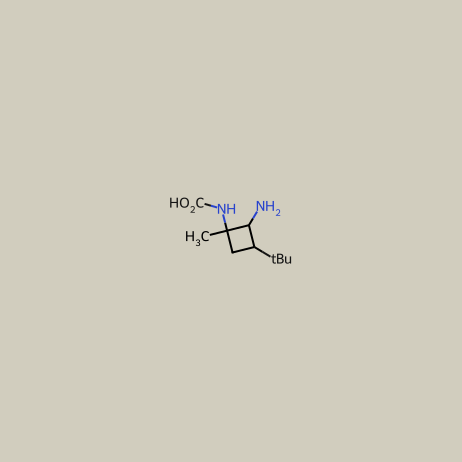 CC(C)(C)C1CC(C)(NC(=O)O)C1N